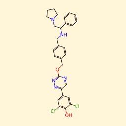 Oc1c(Cl)cc(-c2cnc(OCc3ccc(CNC(CN4CCCC4)c4ccccc4)cc3)nn2)cc1Cl